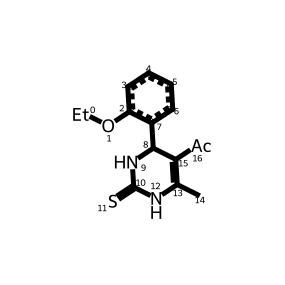 CCOc1ccccc1C1NC(=S)NC(C)=C1C(C)=O